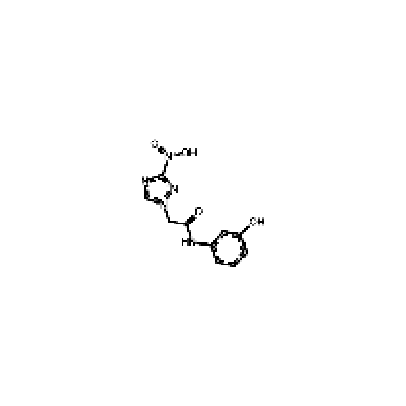 O=C(Cn1cnc([N+](=O)O)n1)Nc1cccc(O)c1